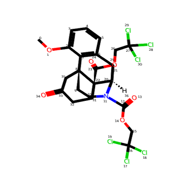 COc1cccc2c1[C@]13CCN(C(=O)OCC(Cl)(Cl)Cl)[C@H](C2)[C@]1(C(=O)OCC(Cl)(Cl)Cl)CCC(=O)C3